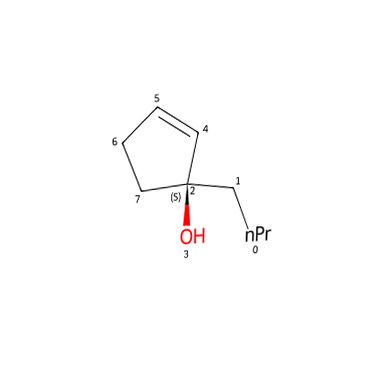 CCCC[C@@]1(O)C=CCC1